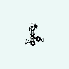 CC(C)(C)N(CC(=O)N1Cc2nn(-c3ccccc3OC(F)(F)F)c(-c3ccc(Cl)cc3)c2C1)C(=O)O